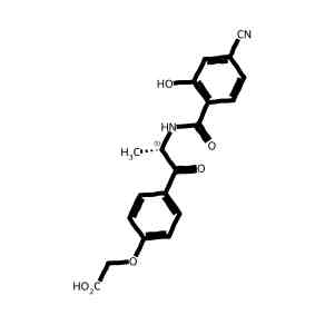 C[C@H](NC(=O)c1ccc(C#N)cc1O)C(=O)c1ccc(OCC(=O)O)cc1